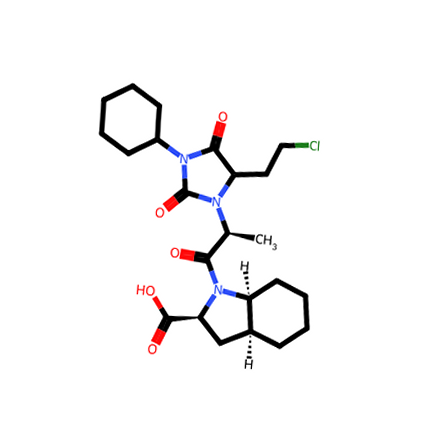 C[C@@H](C(=O)N1[C@H](C(=O)O)C[C@@H]2CCCC[C@@H]21)N1C(=O)N(C2CCCCC2)C(=O)C1CCCl